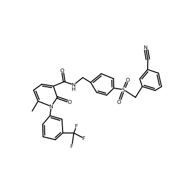 Cc1ccc(C(=O)NCc2ccc(S(=O)(=O)Cc3cccc(C#N)c3)cc2)c(=O)n1-c1cccc(C(F)(F)F)c1